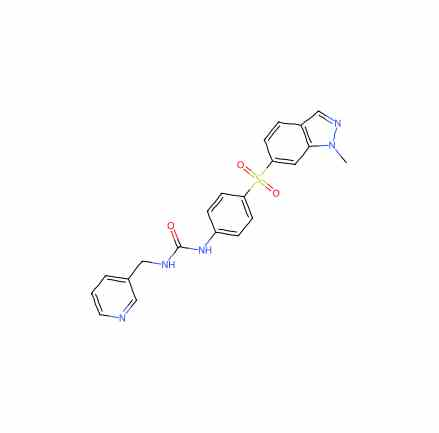 Cn1ncc2ccc(S(=O)(=O)c3ccc(NC(=O)NCc4cccnc4)cc3)cc21